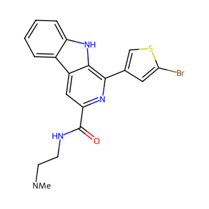 CNCCNC(=O)c1cc2c([nH]c3ccccc32)c(-c2csc(Br)c2)n1